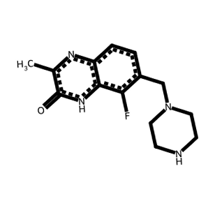 Cc1nc2ccc(CN3CCNCC3)c(F)c2[nH]c1=O